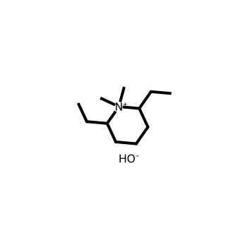 CCC1CCCC(CC)[N+]1(C)C.[OH-]